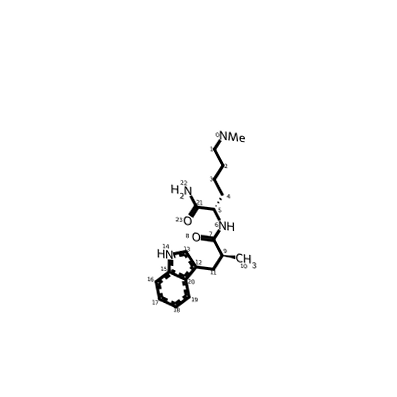 CNCCCC[C@H](NC(=O)[C@@H](C)Cc1c[nH]c2ccccc12)C(N)=O